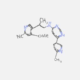 COc1cc(C#N)ncc1C(C)CNc1cc(-c2ccc(C)nc2)ncn1